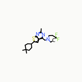 Cc1nc(CN2CCC(F)(F)CC2)c2cc(C3CCC(C)(C)CC3)sc2n1